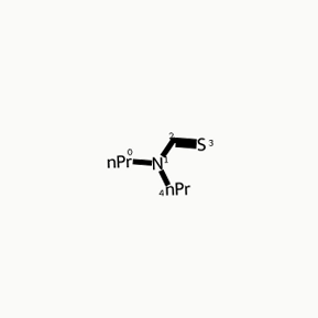 CCCN(C=S)CCC